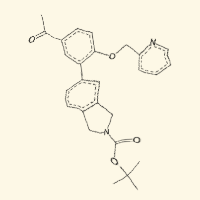 CC(=O)c1ccc(OCc2ccccn2)c(-c2ccc3c(c2)CN(C(=O)OC(C)(C)C)C3)c1